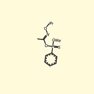 COP(=S)(OC(C)=NOC(C)C)c1ccccc1